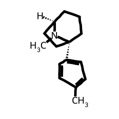 Cc1ccc([C@]23CCC[C@H](CC2)N3C)cc1